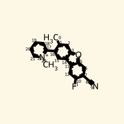 Cc1cc2oc3cc(C#N)c(F)cc3c2cc1-c1cccc[n+]1C